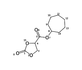 O=C1OCC(C(=O)OC2CCCCCC2)O1